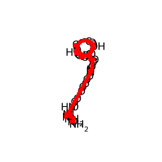 CO[C@H]1C[C@@H]2CC[C@@H](C)[C@@](O)(O2)C(=O)C(=O)N2CCCC[C@H]2C(=O)O[C@H]([C@H](C)C[C@@H]2CC[C@@H](OCCOCc3cn(CCOCCOCCOCCOCCOCCCCCOCCOCCC(=O)NCCCCn4nc(-c5ccc6oc(N)nc6c5)c5c(N)ncnc54)nn3)[C@H](OC)C2)CC(=O)[C@H](C)/C=C(\C)[C@@H](O)[C@@H](OC)C(=O)[C@H](C)C[C@H](C)/C=C/C=C/C=C/1C